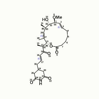 CO[C@H]1/C=C/CCCCC(=O)O[C@H]([C@H](C)C(=O)/C=C/CC2CC(=O)NC(=O)C2)/C(C)=C\[C@@H](C)[C@@H]1O